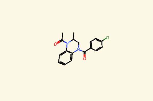 CC(=O)N1c2ccccc2N(C(=O)c2ccc(Cl)cc2)CC1C